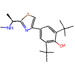 CN[C@@H](C)c1nc(-c2cc(C(C)(C)C)c(O)c(C(C)(C)C)c2)cs1